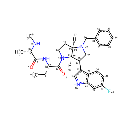 CC[C@H](NC(=O)[C@H](C)NC)C(=O)N1CC[C@@H]2[C@H]1[C@H](c1c[nH]c3cc(F)ccc13)CN2Cc1ccccc1